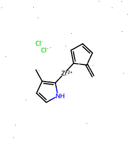 C=C1C=CC=[C]1[Zr+2][c]1[nH]ccc1C.[Cl-].[Cl-]